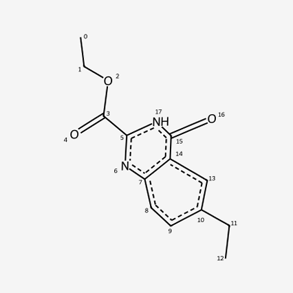 CCOC(=O)c1nc2ccc(CC)cc2c(=O)[nH]1